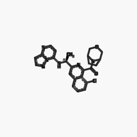 C[C@H](Nc1ccnc2ccnn12)c1cc2cccc(Cl)c2c(C(=O)N2C3CCC2COC3)n1